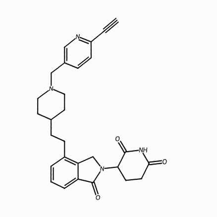 C#Cc1ccc(CN2CCC(CCc3cccc4c3CN(C3CCC(=O)NC3=O)C4=O)CC2)cn1